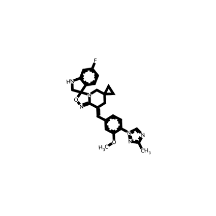 COc1cc(/C=C2\CC3(CC3)CN3C2=NOC32CNc3cc(F)ccc32)ccc1-n1cnc(C)n1